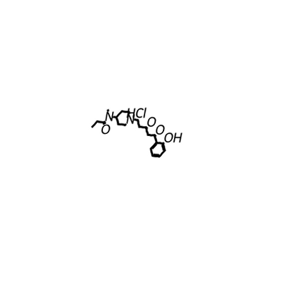 CCC(=O)N(C)C1CCN(CCC(=O)CC(=O)c2ccccc2O)CC1.Cl